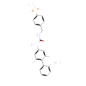 NS(=O)(=O)c1ccc(CNC(=O)Nc2cc(Cl)c(-c3ccccc3OC(F)(F)F)c(Cl)c2)cc1